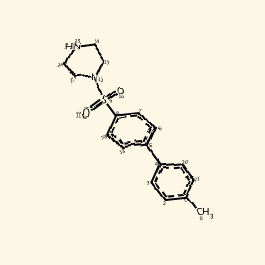 Cc1ccc(-c2ccc(S(=O)(=O)N3CCNCC3)cc2)cc1